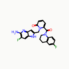 Nc1nc2cc(Cn3c(C(=O)N4CCCc5cc(F)ccc54)cccc3=O)[nH]c2cc1F